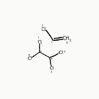 C=CCl.ClC(Cl)C(Cl)Cl